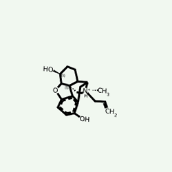 C=CC[N@@+]1(C)CC[C@@]23c4c5ccc(O)c4CC1C2CC[C@H](O)C3O5